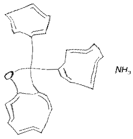 N.c1ccc(C2(c3ccccc3)Oc3ccccc32)cc1